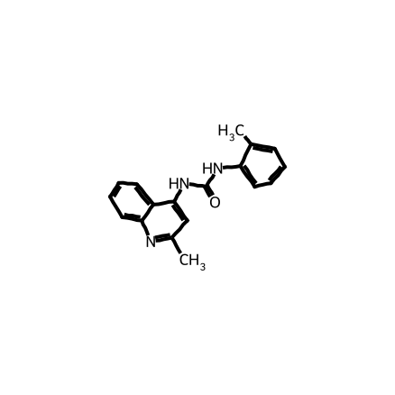 Cc1cc(NC(=O)Nc2ccccc2C)c2ccccc2n1